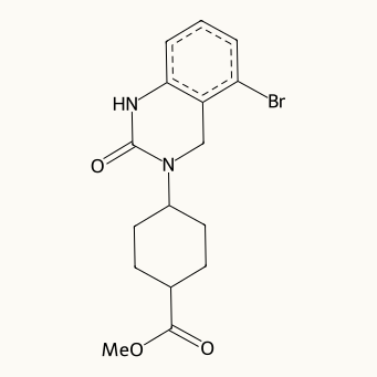 COC(=O)C1CCC(N2Cc3c(Br)cccc3NC2=O)CC1